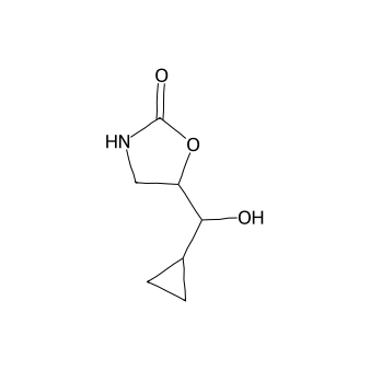 O=C1NCC(C(O)C2CC2)O1